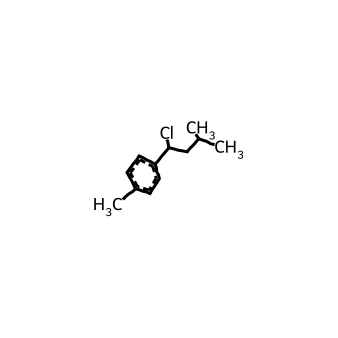 Cc1ccc(C(Cl)CC(C)C)cc1